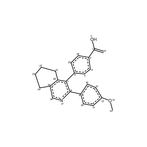 C=C(O)c1ccc(-c2c(-c3ccc(OC)cc3)ncc3c2CCCC3)cc1